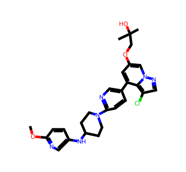 COc1ccc(NC2CCN(c3ccc(-c4cc(OCC(C)(C)O)cn5ncc(Cl)c45)cn3)CC2)cn1